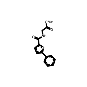 COC(=O)CNC(=O)c1ccc(-c2ccccc2)s1